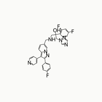 OC(CNCc1ccc2c(-c3ccncc3)c(-c3ccc(F)cc3)nn2c1)(Cn1cncn1)c1ccc(F)cc1F